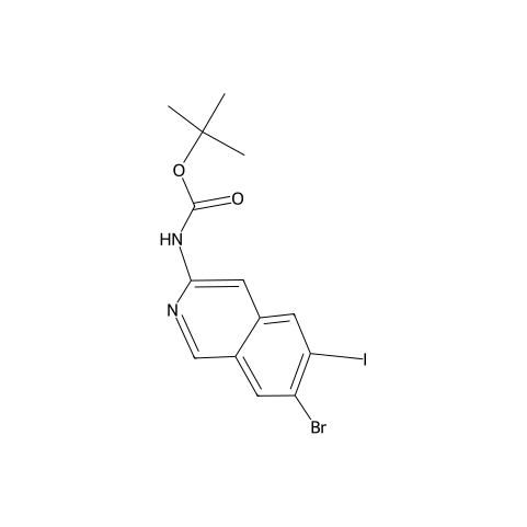 CC(C)(C)OC(=O)Nc1cc2cc(I)c(Br)cc2cn1